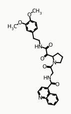 COc1ccc(CCNC(=O)C(=O)C2CCCN2C(=O)CNC(=O)c2ccnc3ccccc23)cc1OC